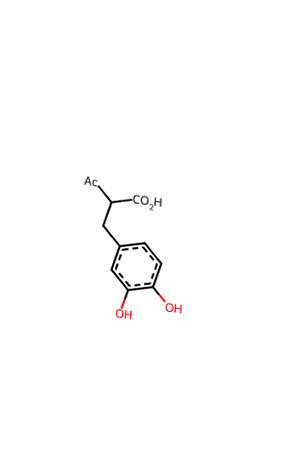 CC(=O)C(Cc1ccc(O)c(O)c1)C(=O)O